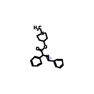 CN1CCC(OC(=O)C(/N=C/c2ccccc2)c2ccccc2)CC1